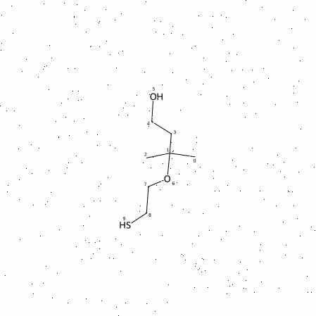 CC(C)(CCO)OCCS